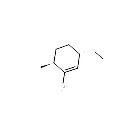 CO[C@@H]1C=C(S)[C@@H](C)CC1